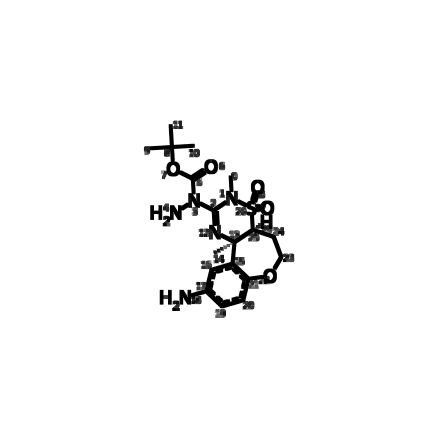 CN1C(N(N)C(=O)OC(C)(C)C)=N[C@]2(C)c3cc(N)ccc3OCC[C@@H]2S1(=O)=O